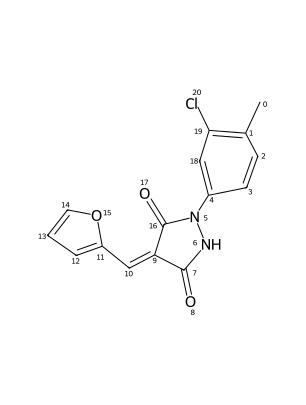 Cc1ccc(N2NC(=O)/C(=C/c3ccco3)C2=O)cc1Cl